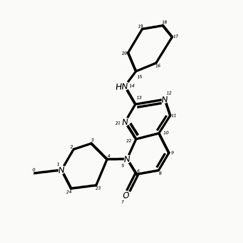 CN1CCC(n2c(=O)ccc3cnc(NC4CCCCC4)nc32)CC1